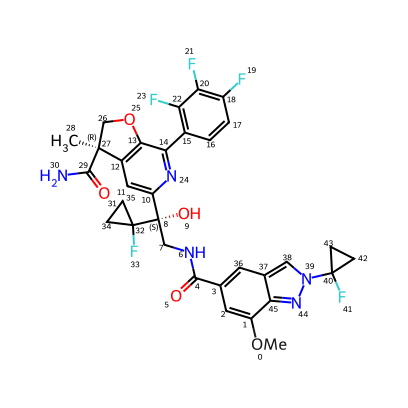 COc1cc(C(=O)NC[C@](O)(c2cc3c(c(-c4ccc(F)c(F)c4F)n2)OC[C@]3(C)C(N)=O)C2(F)CC2)cc2cn(C3(F)CC3)nc12